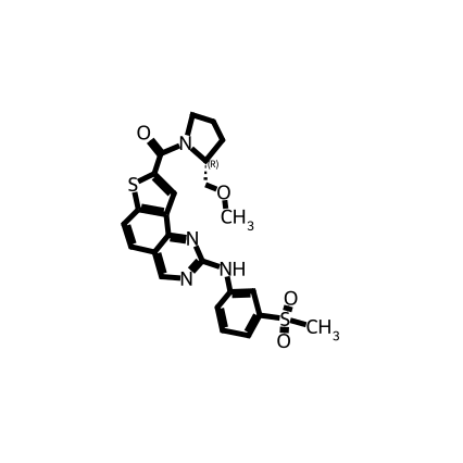 COC[C@H]1CCCN1C(=O)c1cc2c(ccc3cnc(Nc4cccc(S(C)(=O)=O)c4)nc32)s1